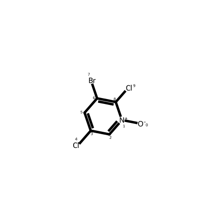 [O-][n+]1cc(Cl)cc(Br)c1Cl